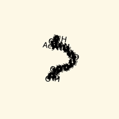 CC(=O)c1c(C)c2cnc(Nc3ccc(N4CCN(C(=O)N5CCN(CC6CCN(c7ccc8c(c7)CN(C7CCC(=O)NC7=O)C8=O)CC6)CC5)CC4)cn3)nc2n(C2CCCC2)c1=O